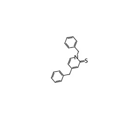 S=c1cc(Cc2ccccc2)ccn1Cc1ccccc1